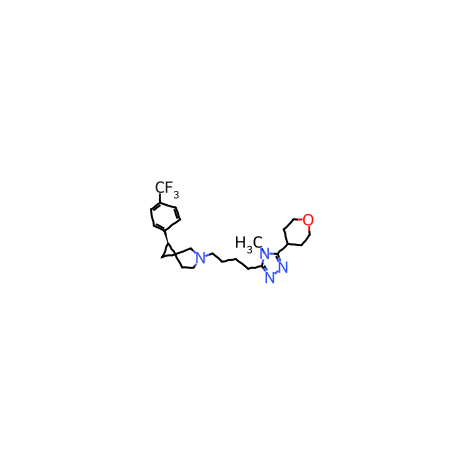 Cn1c(CCCCN2CCC3(C[C@H]3c3ccc(C(F)(F)F)cc3)C2)nnc1C1CCOCC1